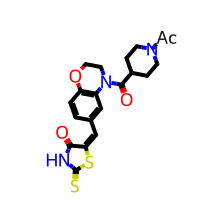 CC(=O)N1CCC(C(=O)N2CCOc3ccc(C=C4SC(=S)NC4=O)cc32)CC1